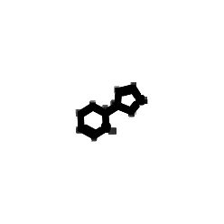 [C]1OC=CC1C1CCC=CO1